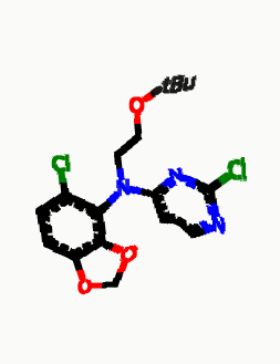 CC(C)(C)OCCN(c1ccnc(Cl)n1)c1c(Cl)ccc2c1OCO2